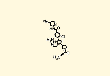 CC#CC(=O)N1CCC(c2nc(-c3ccc(C(=O)Nc4cc(C#N)ccn4)cc3Cl)n3c(N)nccc23)C1